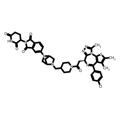 Cc1sc2c(c1C)C(c1ccc(Cl)cc1)=N[C@@H](CC(=O)N1CCC(CN3CC4CC3CN4c3ccc4c(c3)C(=O)N(C3CCC(=O)NC3=O)C4=O)CC1)c1nnc(C)n1-2